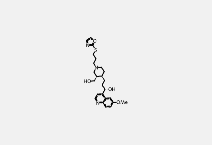 COc1ccc2nccc([C@@H](O)CC[C@@H]3CCN(CCCSc4ncco4)C[C@@H]3CO)c2c1